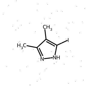 Cc1n[nH]c(I)c1C